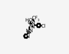 O=c1n(Cc2ncn(-c3ccccn3)n2)nc(-c2ccc(Cl)cc2)n1CC(O)C(F)(F)F